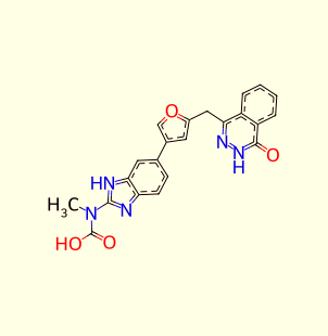 CN(C(=O)O)c1nc2ccc(-c3coc(Cc4n[nH]c(=O)c5ccccc45)c3)cc2[nH]1